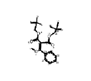 COC(=C(C(=O)OCC(C)(C)C)C(=O)OCC(C)(C)C)c1ccccc1